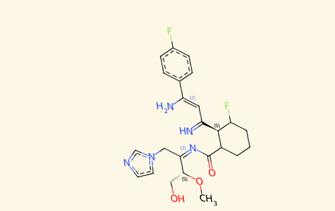 CO[C@H](CO)/C(Cn1ccnc1)=N\C(=O)C1CCCC(F)[C@@H]1C(=N)/C=C(\N)c1ccc(F)cc1